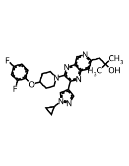 CC(C)(O)Cc1cc2nc(-c3cnn(C4CC4)c3)c(N3CCC(Oc4ccc(F)cc4F)CC3)nc2cn1